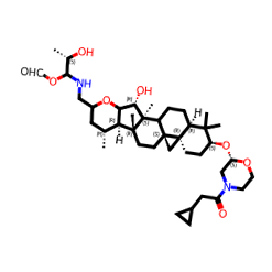 C[C@H](O)C(NCC1C[C@@H](C)[C@H]2C(O1)[C@H](O)[C@@]1(C)C3CC[C@H]4C(C)(C)[C@@H](O[C@H]5CN(C(=O)CC6CC6)CCO5)CC[C@@]45C[C@@]35CC[C@]21C)OC=O